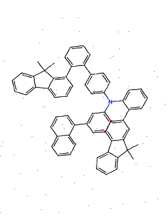 CC1(C)c2ccccc2-c2ccc(-c3ccccc3N(c3ccc(-c4ccccc4-c4cccc5c4C(C)(C)c4ccccc4-5)cc3)c3cccc(-c4cccc5ccccc45)c3)cc21